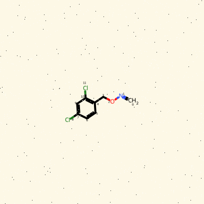 C=NOCc1ccc(Cl)cc1Cl